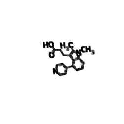 Cc1c(CCC(=O)O)c2c(-c3ccncc3)cccc2n1C